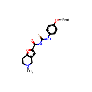 CCCCCOc1ccc(NC(=S)NC(=O)c2cc3c(o2)CCN(C)C3)cc1